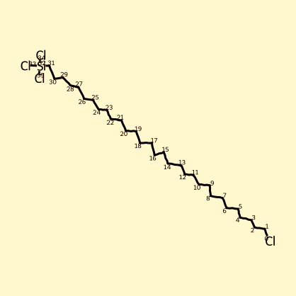 ClCCCCCCCCCCCCCCCCCCCCCCCCCCCCCCC[Si](Cl)(Cl)Cl